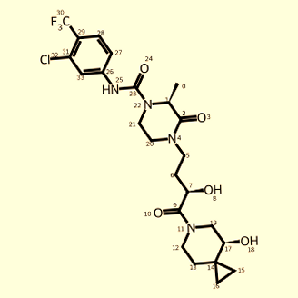 C[C@H]1C(=O)N(CC[C@@H](O)C(=O)N2CCC3(CC3)[C@H](O)C2)CCN1C(=O)Nc1ccc(C(F)(F)F)c(Cl)c1